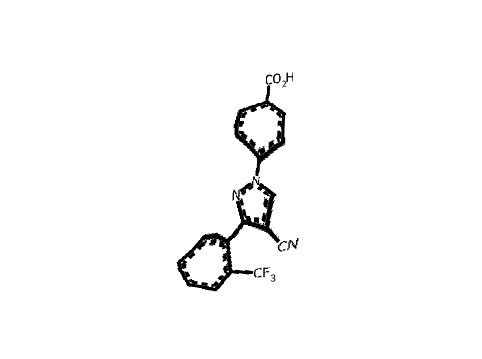 N#Cc1cn(-c2ccc(C(=O)O)cc2)nc1-c1ccccc1C(F)(F)F